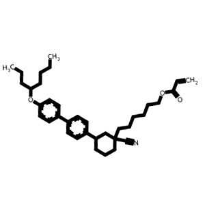 C=CC(=O)OCCCCCCC1(C#N)CCCC(c2ccc(-c3ccc(OC(CCC)CCCC)cc3)cc2)C1